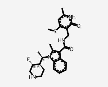 CSc1cc(C)[nH]c(=O)c1CNC(=O)c1c(C)n([C@H](C)[C@H]2CCNC[C@@H]2F)c2ccccc12